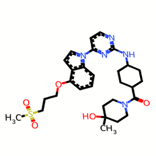 CC1(O)CCN(C(=O)C2CCC(Nc3nccc(-n4ccc5c(OCCCS(C)(=O)=O)cccc54)n3)CC2)CC1